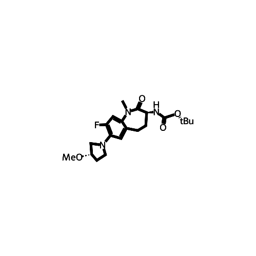 CO[C@H]1CCN(c2cc3c(cc2F)N(C)C(=O)[C@@H](NC(=O)OC(C)(C)C)CC3)C1